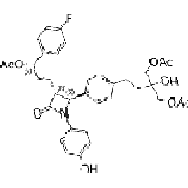 CC(=O)OCC(O)(CCc1ccc([C@@H]2[C@@H](CC[C@H](OC(C)=O)c3ccc(F)cc3)C(=O)N2c2ccc(O)cc2)cc1)COC(C)=O